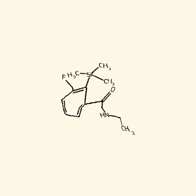 CCNC(=O)c1cccc(F)c1[Si](C)(C)C